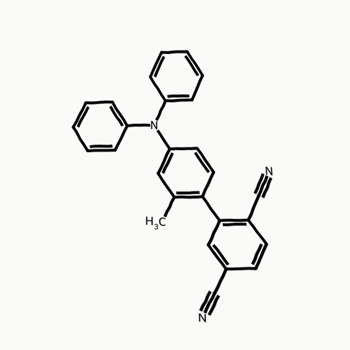 Cc1cc(N(c2ccccc2)c2ccccc2)ccc1-c1cc(C#N)ccc1C#N